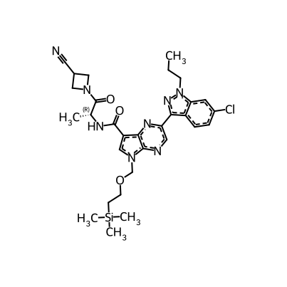 CCCn1nc(-c2cnc3c(n2)c(C(=O)N[C@H](C)C(=O)N2CC(C#N)C2)cn3COCC[Si](C)(C)C)c2ccc(Cl)cc21